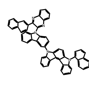 c1ccc2cc(-c3nc4ccccc4nc3-n3c4ccccc4c4cc(-n5c6ccccc6c6c7c8ccccc8n(-c8cccc9ccccc89)c7ccc65)ccc43)ccc2c1